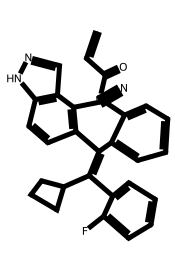 C=CC(=O)Oc1ccccc1/C(=C(\c1ccccc1F)C1CCC1)c1ccc2[nH]ncc2c1C#N